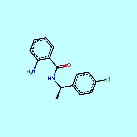 C[C@@H](NC(=O)c1ccccc1N)c1ccc(Cl)cc1